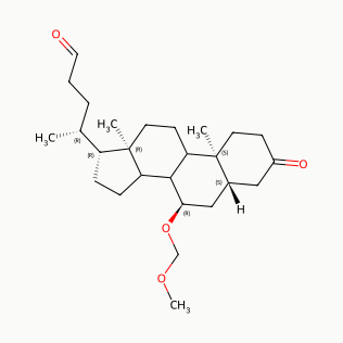 COCO[C@@H]1C[C@H]2CC(=O)CC[C@]2(C)C2CC[C@@]3(C)C(CC[C@@H]3[C@H](C)CCC=O)C21